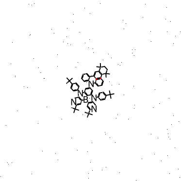 CC(C)(C)c1ccc(N2c3cnc(C(C)(C)C)cc3B3c4cc(C(C)(C)C)ncc4N(c4ccc(C(C)(C)C)cc4)c4cc(N(c5ccccc5)c5ccccc5-c5ccc6c(c5)C(C)(C)CCC6(C)C)cc2c43)cc1